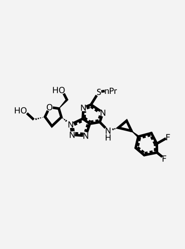 CCCSc1nc(N[C@@H]2C[C@H]2c2ccc(F)c(F)c2)c2nnn([C@@H]3C[C@H](CO)O[C@H]3CO)c2n1